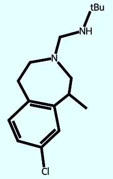 CC1CN(CNC(C)(C)C)CCc2ccc(Cl)cc21